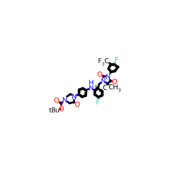 CC(C)(C)OC(=O)N1CCN(c2ccc(Nc3cc(F)ccc3CN3C(=O)N(c4ccc(F)c(C(F)(F)F)c4)C(=O)C3(C)C)cc2)C(=O)C1